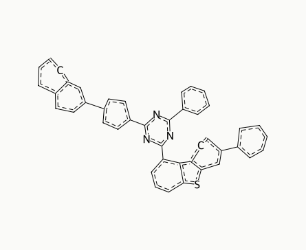 c1ccc(-c2ccc3c(c2)sc2cccc(-c4nc(-c5ccccc5)nc(-c5ccc(-c6ccc7ccccc7c6)cc5)n4)c23)cc1